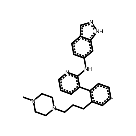 CN1CCN(CCCc2c[c]ccc2-c2cccnc2Nc2ccc3cn[nH]c3c2)CC1